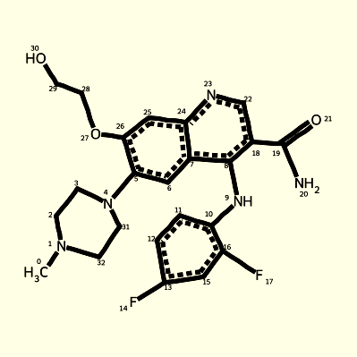 CN1CCN(c2cc3c(Nc4ccc(F)cc4F)c(C(N)=O)cnc3cc2OCCO)CC1